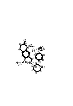 COc1cc2c(cc1CN[C@H]1CCCN[C@H]1c1ccccc1)N(OC)C(=O)CC2.Cl.Cl